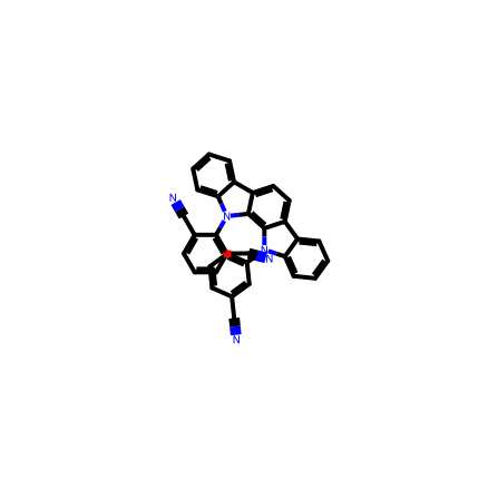 N#Cc1cccc(-n2c3ccccc3c3ccc4c5ccccc5n(-c5c(C#N)cccc5C#N)c4c32)c1